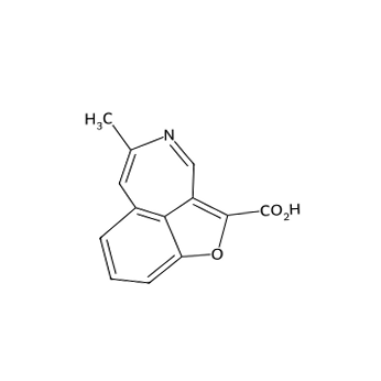 CC1=Cc2cccc3oc(C(=O)O)c(c23)C=N1